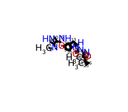 C/C=N\C1=C(C(=N)Oc2ccc3c(ccn3C(=O)Nc3noc(C4(C)CC4)c3C)c2)CNC1